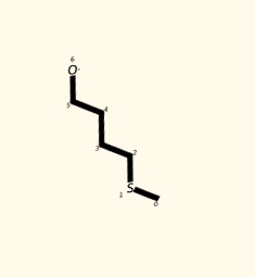 CSCCCC[O]